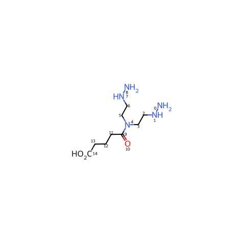 NNCCN(CCNN)C(=O)CCCC(=O)O